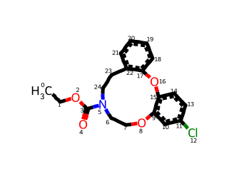 CCOC(=O)N1CCOc2cc(Cl)ccc2Oc2ccccc2CC1